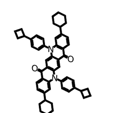 O=c1c2ccc(C3CCCCC3)cc2n(-c2ccc(C3CCC3)cc2)c2cc3c(=O)c4ccc(C5CCCCC5)cc4n(-c4ccc(C5CCC5)cc4)c3cc12